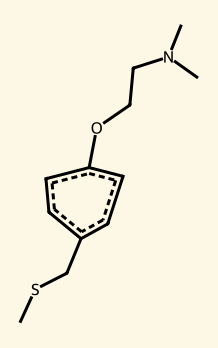 CSCc1ccc(OCCN(C)C)cc1